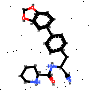 N#C[C@H](Cc1ccc(-c2ccc3c(c2)OCO3)cc1)NC(=O)[C@@H]1CCCCN1